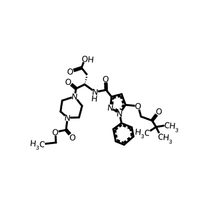 CCOC(=O)N1CCN(C(=O)[C@H](CC(=O)O)NC(=O)c2cc(OCC(=O)C(C)(C)C)n(-c3ccccc3)n2)CC1